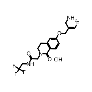 Cl.NC/C(=C\F)COc1ccc2c(c1)CCN(CC(=O)NCC(F)(F)F)C2=O